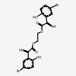 N=C(C(=O)OCCOC(=O)C(=N)c1cc(Br)ccc1O)c1cc(Br)ccc1O